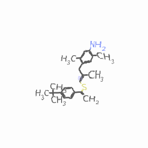 C=C(S/C=C(\C)Cc1cc(C)c(N)cc1C)c1ccc(C(C)(C)C)cc1